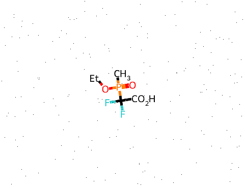 CCOP(C)(=O)C(F)(F)C(=O)O